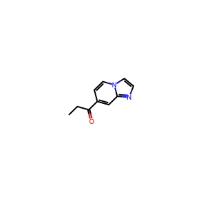 CCC(=O)c1ccn2ccnc2c1